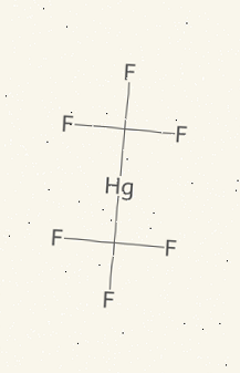 F[C](F)(F)[Hg][C](F)(F)F